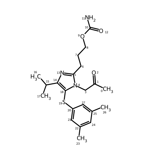 CC(=O)Cn1c(CCCOC(N)=O)nc(C(C)C)c1Sc1cc(C)cc(C)c1